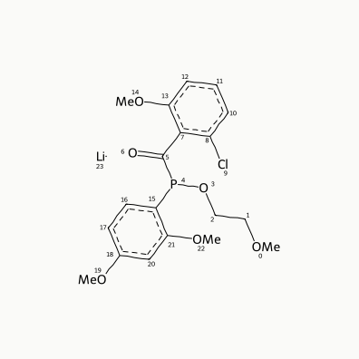 COCCOP(C(=O)c1c(Cl)cccc1OC)c1ccc(OC)cc1OC.[Li]